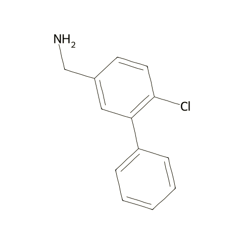 NCc1ccc(Cl)c(-c2ccccc2)c1